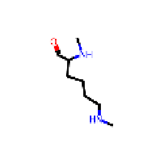 CNCCCCC(C=O)NC